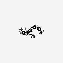 CCCCN(C(=O)Nc1cc(C(N)=O)c(F)cc1F)C1CCN(Cc2ccc(Oc3ccc(C(=O)N(C)C)cc3)nc2)CC1.Cl